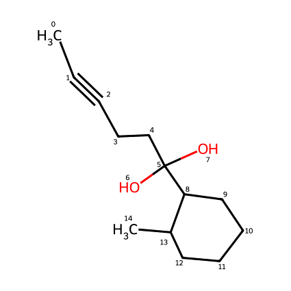 CC#CCCC(O)(O)C1CCCCC1C